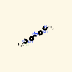 Cc1cc(Nc2ccc(-n3cc(-c4ccc(Nc5ccnc(C)c5Cl)cc4)nn3)cc2)ccn1